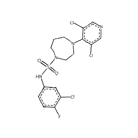 O=S(=O)(Nc1ccc(F)c(Cl)c1)N1CCCN(c2c(Cl)cncc2Cl)CC1